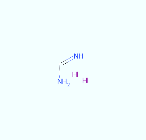 I.I.N=CN